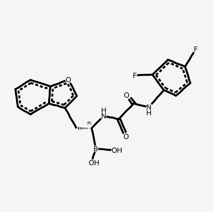 O=C(Nc1ccc(F)cc1F)C(=O)N[C@@H](Cc1coc2ccccc12)B(O)O